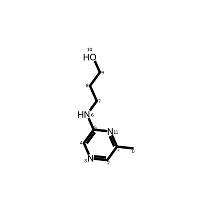 Cc1cncc(NCCCO)n1